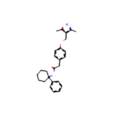 Cc1noc(C)c1COc1ccc(CC(=O)NC2(c3ccccc3)CCCCC2)cc1